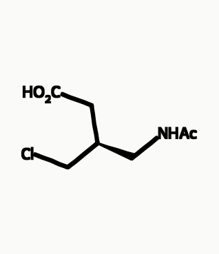 CC(=O)NC[C@@H](CCl)CC(=O)O